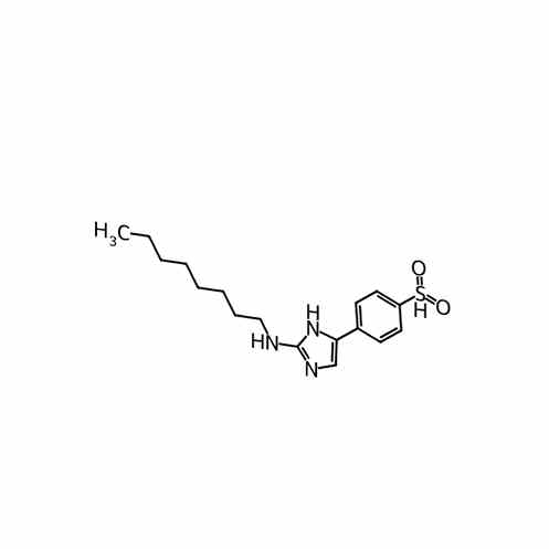 CCCCCCCCNc1ncc(-c2ccc([SH](=O)=O)cc2)[nH]1